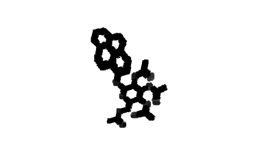 CC(=O)OCC1OC(Oc2ccc3ccc4cccc5ccc2c3c45)C(OC(C)=O)C(OC(C)=O)C1OC(C)=O